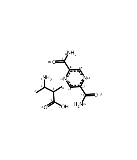 CC(N)C(C)C(=O)O.NC(=O)c1cnc(C(N)=O)cn1